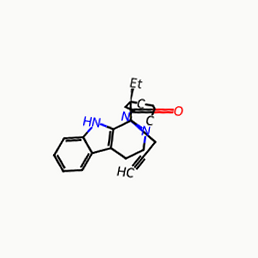 C#CCN1C(=O)C[C@]2(CC)CCCCN3CCc4c([nH]c5ccccc45)[C@@]312